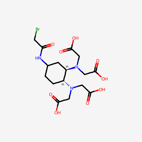 O=C(O)CN(CC(=O)O)[C@@H]1CCC(NC(=O)CBr)C[C@H]1N(CC(=O)O)CC(=O)O